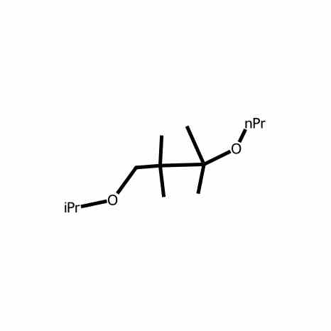 CCCOC(C)(C)C(C)(C)COC(C)C